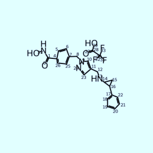 O=C(NO)c1ccc(Cn2cc(CNC3CC3c3ccccc3)cn2)cc1.O=C(O)C(F)(F)F